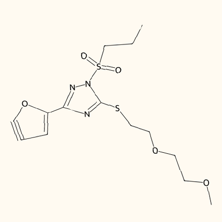 CCCS(=O)(=O)n1nc(-c2cc#co2)nc1SCCOCCOC